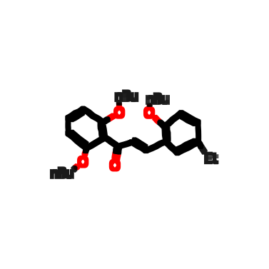 CCCCOc1ccc(CC)cc1/C=C/C(=O)c1c(OCCCC)cccc1OCCCC